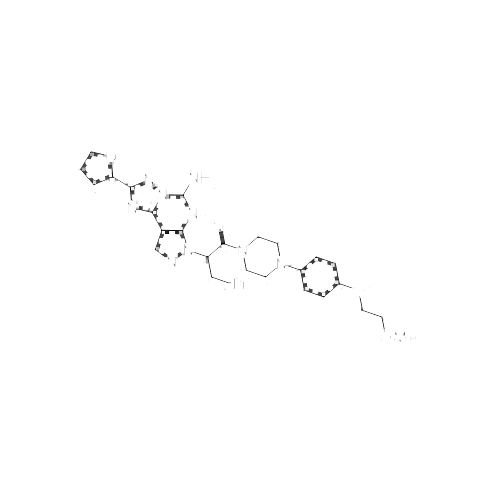 COCCOc1ccc(N2CCN(C(=O)C(CC(C)C)n3ncc4c3nc(N)n3nc(-c5ccco5)nc43)CC2)cc1